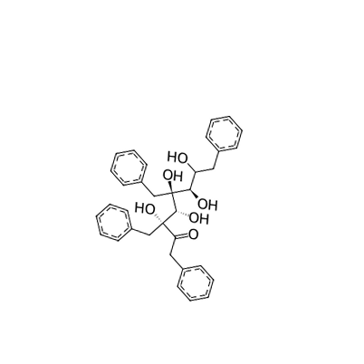 O=C(Cc1ccccc1)[C@@](O)(Cc1ccccc1)[C@@H](O)[C@](O)(Cc1ccccc1)[C@H](O)C(O)Cc1ccccc1